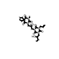 C=CCn1c(=O)n(CC(O)CC)c(=O)n(CC(O)CN2C(=O)N(C)C(=O)C(CC)(CC)C2=O)c1=O